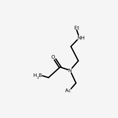 BCC(=O)N(CCNCC)CC(C)=O